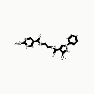 COc1ncc(C(=O)NCCNC(=O)c2cn(-c3ccccc3)nc2C(F)(F)F)cn1